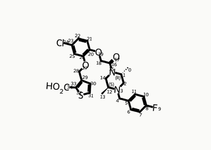 C[C@@H]1CN(Cc2ccc(F)cc2)[C@@H](C)CN1C(=O)COc1ccc(Cl)cc1OCc1ccsc1C(=O)O